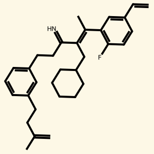 C=Cc1ccc(F)c(/C(C)=C(\CC2CCCCC2)C(=N)CCc2cccc(CCC(=C)C)c2)c1